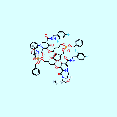 C[C@H]1CO[C@@H]2Cn3cc(C(=O)NCc4ccc(F)cc4F)c(=O)c(OC(CCCOP(=O)(OCc4ccccc4)OCc4ccccc4)OC(=O)OC(CCCOP(=O)(OCc4ccccc4)OCc4ccccc4)Oc4c5n(cc(C(=O)NCc6ccc(F)cc6F)c4=O)C[C@H]4OC[C@H](C)N4C5=O)c3C(=O)N12